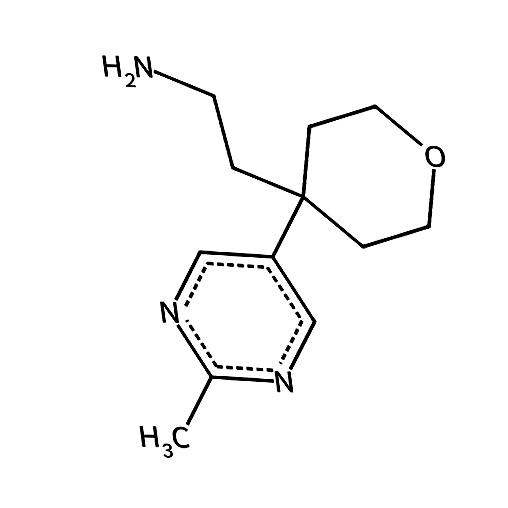 Cc1ncc(C2(CCN)CCOCC2)cn1